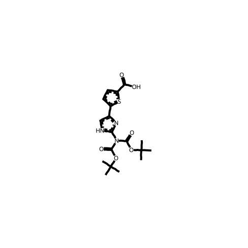 CC(C)(C)OC(=O)N(C(=O)OC(C)(C)C)c1nc(-c2ccc(C(=O)O)s2)c[nH]1